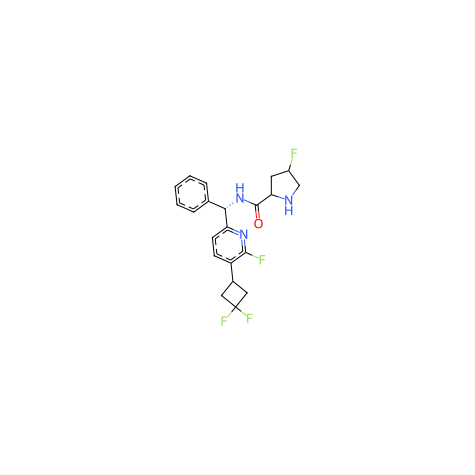 O=C(N[C@@H](c1ccccc1)c1ccc(C2CC(F)(F)C2)c(F)n1)C1CC(F)CN1